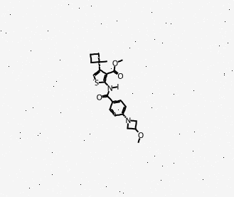 COC(=O)c1c(C2(C)CCC2)csc1N(I)C(=O)c1ccc(N2CC(OC)C2)cc1